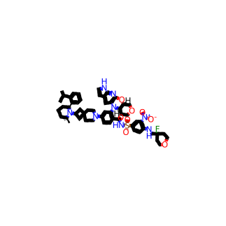 CC(C)c1ccccc1[C@@H]1CCC[C@H](C)N1C1CC2(CCN(c3ccc(C(=O)NS(=O)(=O)c4ccc(NCC5(F)CCOCC5)c([N+](=O)[O-])c4)c(N4c5cc6cc[nH]c6nc5O[C@H]5COCC[C@@H]54)c3)CC2)C1